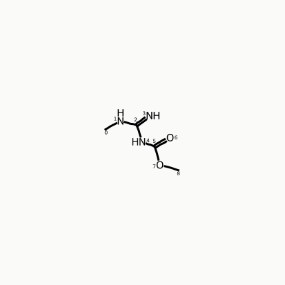 CNC(=N)NC(=O)OC